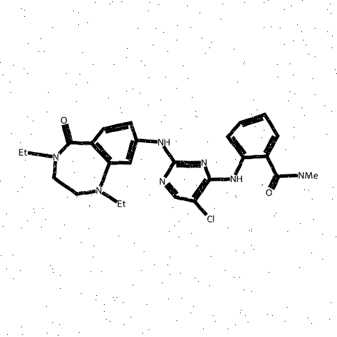 CCN1CCN(CC)c2cc(Nc3ncc(Cl)c(Nc4ccccc4C(=O)NC)n3)ccc2C1=O